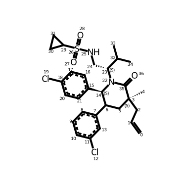 C=CC[C@@]1(C)CC(c2cccc(Cl)c2)[C@@H](c2ccc(Cl)cc2)N([C@H](CNS(=O)(=O)C2CC2)C(C)C)C1=O